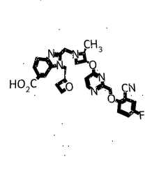 C[C@H]1[C@@H](Oc2ccnc(COc3ccc(F)cc3C#N)n2)CN1Cc1nc2ccc(C(=O)O)cc2n1C[C@@H]1CCO1